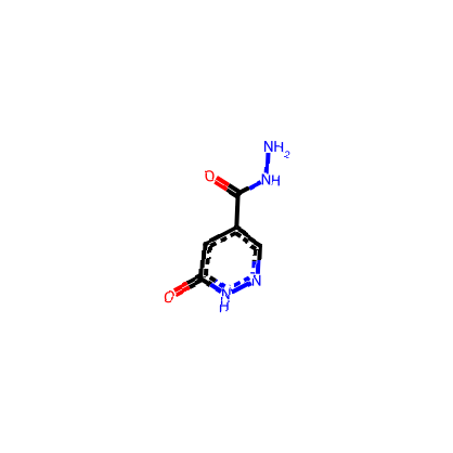 NNC(=O)c1cn[nH]c(=O)c1